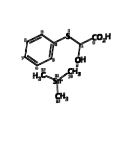 O=C(O)C(O)Sc1ccccc1.[CH3][Sn]([CH3])[CH3]